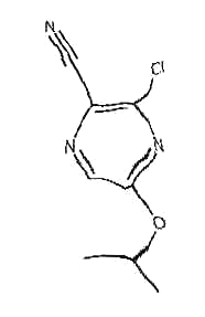 CC(C)Oc1cnc(C#N)c(Cl)n1